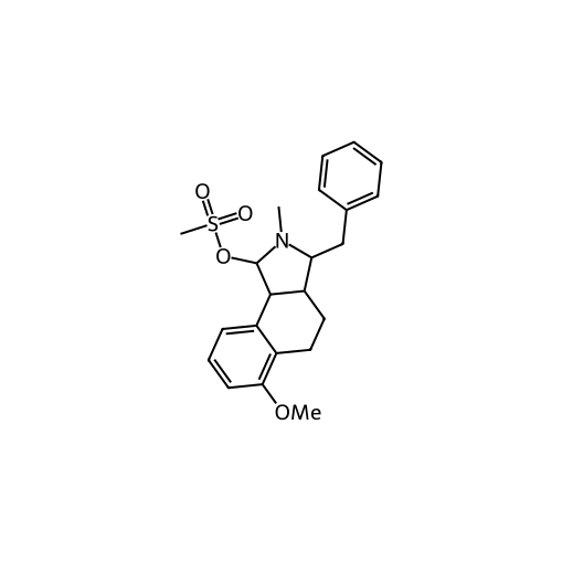 COc1cccc2c1CCC1C2C(OS(C)(=O)=O)N(C)C1Cc1ccccc1